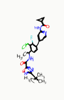 CC(NC(=O)c1nc(C(C)(C)C)no1)c1ccc(-c2ccnc(NC(=O)C3CC3)c2)c(F)c1Cl